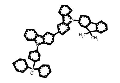 CC1(C)c2ccccc2-c2ccc(-n3c4ccccc4c4cc(-c5ccc6c(c5)c5ccccc5n6-c5ccc(P(=O)(c6ccccc6)c6ccccc6)cc5)ccc43)cc21